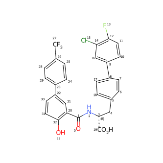 O=C(N[C@H](Cc1ccc(-c2ccc(F)c(Cl)c2)cc1)C(=O)O)c1cc(-c2ccc(C(F)(F)F)cc2)ccc1O